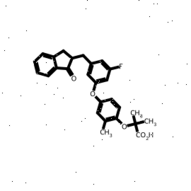 Cc1cc(Oc2cc(F)cc(CC3Cc4ccccc4C3=O)c2)ccc1OC(C)(C)C(=O)O